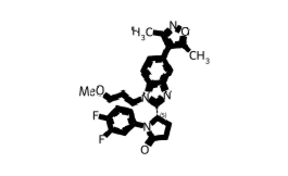 COCCCn1c([C@@H]2CCC(=O)N2c2ccc(F)c(F)c2)nc2cc(-c3c(C)noc3C)ccc21